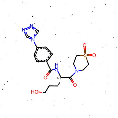 O=C(N[C@@H](CCCO)C(=O)N1CCS(=O)(=O)CC1)c1ccc(-n2cnnc2)cc1